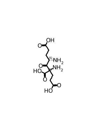 N[C@@H](CCC(=O)O)C(=O)[C@](N)(CCC(=O)O)C(=O)O